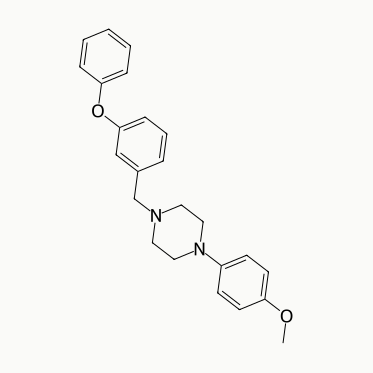 COc1ccc(N2CCN(Cc3cccc(Oc4ccccc4)c3)CC2)cc1